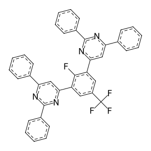 Fc1c(-c2cc(-c3ccccc3)nc(-c3ccccc3)n2)cc(C(F)(F)F)cc1-c1cc(-c2ccccc2)nc(-c2ccccc2)n1